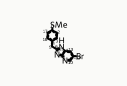 CSc1ccc(Cc2nc3ncc(Br)cc3[nH]2)cc1